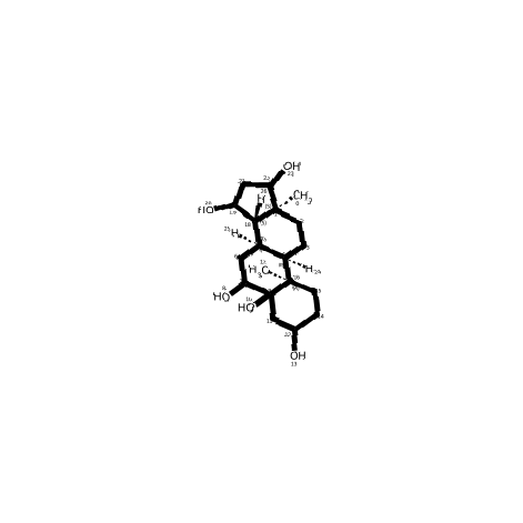 C[C@]12CC[C@@H]3[C@@H](CC(O)C4(O)CC(O)CC[C@]34C)[C@@H]1C(O)CC2O